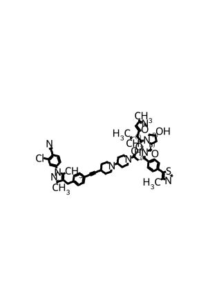 Cc1cc([C@H](C(=O)N2C[C@H](O)C[C@H]2C(=O)N[C@@H](CC(=O)N2CCC(N3CCC(C#Cc4ccc(Cc5c(C)nn(-c6ccc(C#N)c(Cl)c6)c5C)cc4)CC3)CC2)c2ccc(-c3scnc3C)cc2)C(C)C)on1